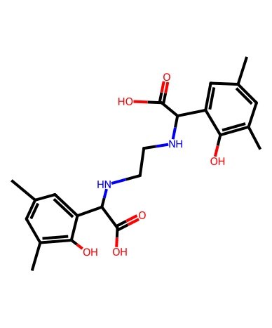 Cc1cc(C)c(O)c(C(NCCNC(C(=O)O)c2cc(C)cc(C)c2O)C(=O)O)c1